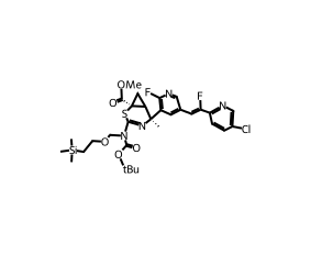 COC(=O)[C@]12CC1[C@@](C)(c1cc(/C=C(\F)c3ccc(Cl)cn3)cnc1F)N=C(N(COCC[Si](C)(C)C)C(=O)OC(C)(C)C)S2